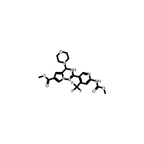 COC(=O)Nc1cc(C(F)(F)F)c(C2=Nn3cc(C(=O)OC)cc3C(N3CCOCC3)N2)cn1